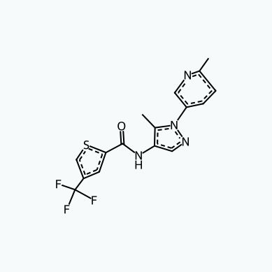 Cc1ccc(-n2ncc(NC(=O)c3cc(C(F)(F)F)cs3)c2C)cn1